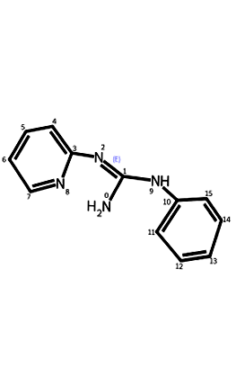 N/C(=N\c1ccccn1)Nc1ccccc1